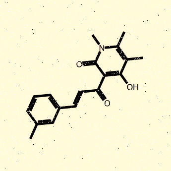 Cc1cccc(/C=C/C(=O)c2c(O)c(C)c(C)n(C)c2=O)c1